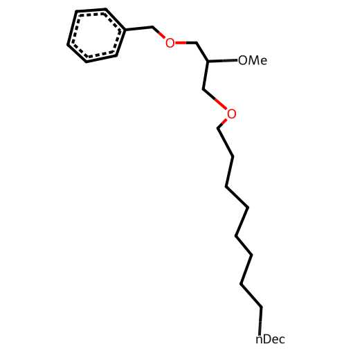 CCCCCCCCCCCCCCCCCCOCC(COCc1ccccc1)OC